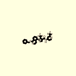 O=C(Nc1ccnc(C(F)(F)F)c1)c1cnn(-c2cccc3c(SCc4ccccc4)nccc23)c1C(F)(F)F